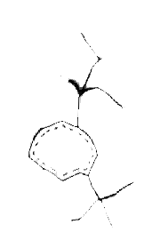 CC(C)(C)c1cccc(C(F)(F)CF)c1